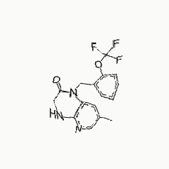 Cc1cnc2c(c1)N(Cc1ccccc1OC(F)(F)F)C(=O)CN2